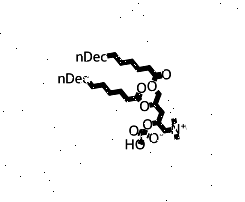 CCCCCCCCCCCCCCCC(=O)OCC(CC(C[N+](C)(C)C)OP(=O)([O-])O)OC(=O)CCCCCCCCCCCCCCC